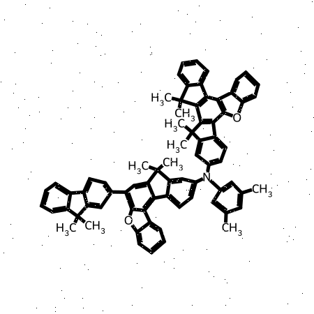 Cc1cc(C)cc(N(c2ccc3c(c2)C(C)(C)c2cc(-c4ccc5c(c4)C(C)(C)c4ccccc4-5)c4oc5ccccc5c4c2-3)c2ccc3c(c2)C(C)(C)c2c4c(c5c(oc6ccccc65)c2-3)-c2ccccc2C4(C)C)c1